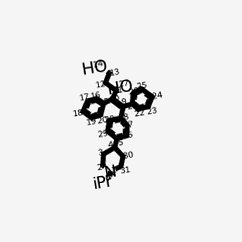 CC(C)N1CCC(c2ccc(/C(=C(/CCCO)c3ccccc3)c3ccccc3O)cc2)CC1